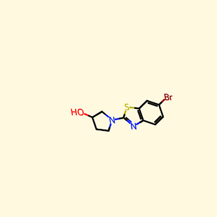 OC1CCN(c2nc3ccc(Br)cc3s2)C1